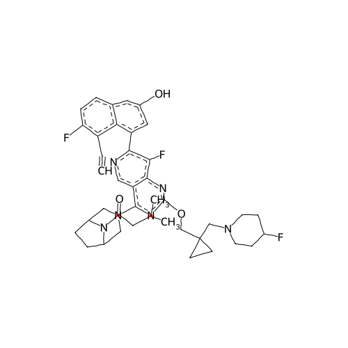 C#Cc1c(F)ccc2cc(O)cc(-c3ncc4c(N5CC6CCC(C5)N6C(=O)CC(C)C)nc(OCC5(CN6CCC(F)CC6)CC5)nc4c3F)c12